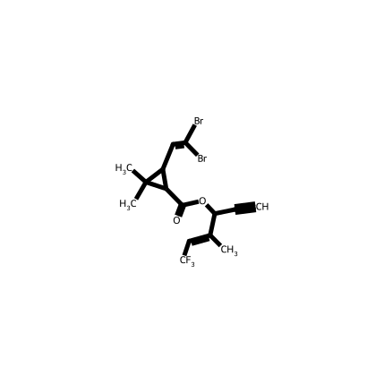 C#CC(OC(=O)C1C(C=C(Br)Br)C1(C)C)C(C)=CC(F)(F)F